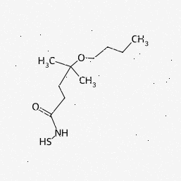 CCCCOC(C)(C)CCC(=O)NS